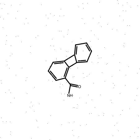 [NH]C(=O)c1cccc2c1-c1ccccc1-2